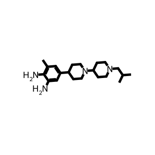 Cc1cc(C2CCN(C3CCN(CC(C)C)CC3)CC2)cc(N)c1N